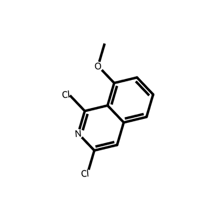 COc1cccc2cc(Cl)nc(Cl)c12